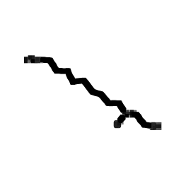 CCCCCCCCCCCCCCCCCC[NH+]([O-])CCO